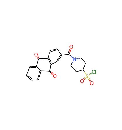 O=C1c2ccccc2C(=O)c2cc(C(=O)N3CCC(S(=O)(=O)Cl)CC3)ccc21